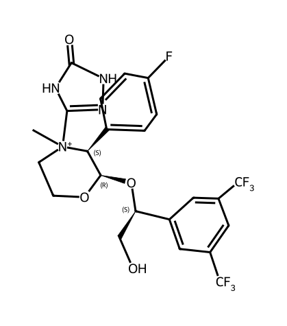 C[N+]1(c2n[nH]c(=O)[nH]2)CCO[C@H](O[C@H](CO)c2cc(C(F)(F)F)cc(C(F)(F)F)c2)[C@@H]1c1ccc(F)cc1